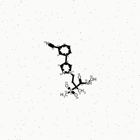 CC(CCn1cc(-c2cccc(C#N)c2)cn1)(C(=O)NO)S(C)(=O)=O